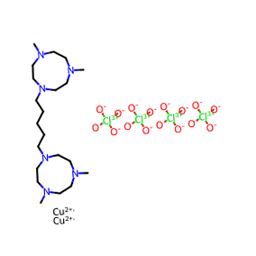 CN1CCN(C)CCN(CCCCCN2CCN(C)CCN(C)CC2)CC1.[Cu+2].[Cu+2].[O-][Cl+3]([O-])([O-])[O-].[O-][Cl+3]([O-])([O-])[O-].[O-][Cl+3]([O-])([O-])[O-].[O-][Cl+3]([O-])([O-])[O-]